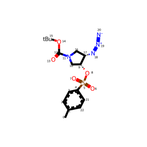 Cc1ccc(S(=O)(=O)O[C@@H]2CN(C(=O)OC(C)(C)C)C[C@@H]2N=[N+]=[N-])cc1